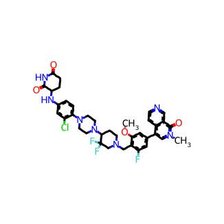 COc1cc(-c2cn(C)c(=O)c3cnccc23)cc(F)c1CN1CCC(N2CCN(c3ccc(NC4CCC(=O)NC4=O)cc3Cl)CC2)C(F)(F)C1